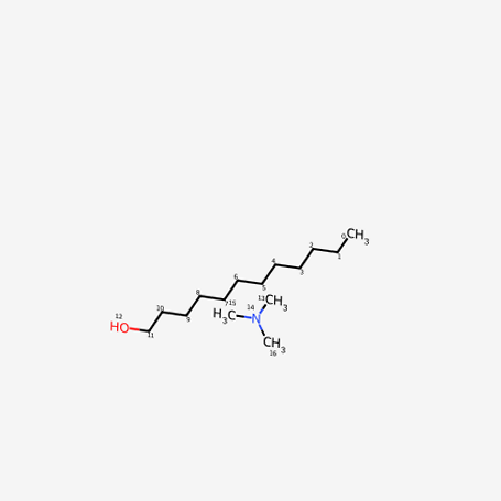 CCCCCCCCCCCCO.CN(C)C